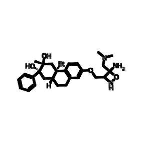 CC[C@@]12C[C@@](C)(O)[C@](O)(c3ccccc3)C[C@H]1CCc1cc(OCC3NOC3(N)CN(C)C)ccc12